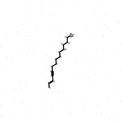 CC=CC#CCCCCCCCCCBr